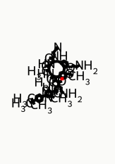 COc1ccc2cc1-c1cc(ccc1OCCN)CC(C(=O)NCC#N)NC(=O)C(C)NC(=O)C2N(C)C(=O)C(CCN)NC(=O)c1cnc(-c2ccc(C(C)(C)C)cc2)nc1C